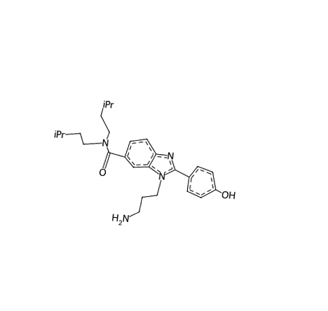 CC(C)CCN(CCC(C)C)C(=O)c1ccc2nc(-c3ccc(O)cc3)n(CCCN)c2c1